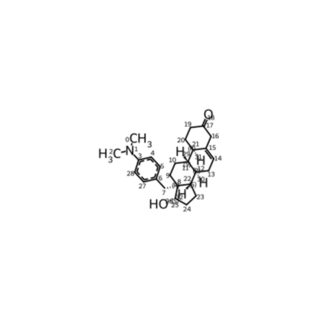 CN(C)c1ccc(C[C@]23CC[C@H]4[C@@H](CC=C5CC(=O)CC[C@@H]54)[C@@H]2CC[C@@H]3O)cc1